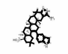 CC1(C)CC2C3=C(c4ccc5[nH]ccc5c4)CC4[C@@]5(C)Cc6c(n[nH]c6N)C(C)(C)C5CC[C@@]4(C)[C@]3(C)CC[C@@H]2[C@H](C(=O)O)C1